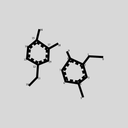 CCc1cc(C)ccc1C.CCc1ccc(C)c(C)c1